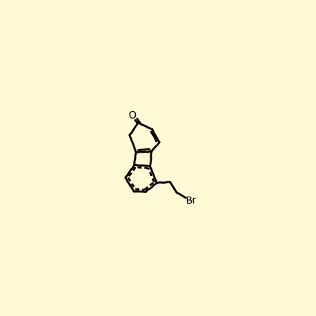 O=C1C=CC2=C(C1)c1cccc(CCBr)c12